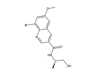 COc1cc(Br)c2ncc(C(=O)N[C@H](C)CO)cc2c1